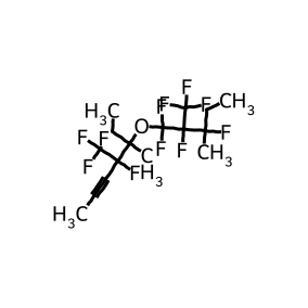 CC#CC(F)(C(F)(F)F)C(C)(CC)OC(F)(F)C(F)(C(F)(F)F)C(C)(F)CC